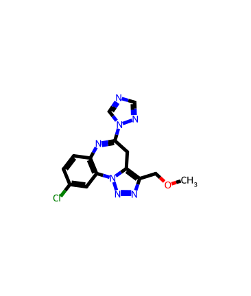 COCc1nnn2c1CC(n1cncn1)=Nc1ccc(Cl)cc1-2